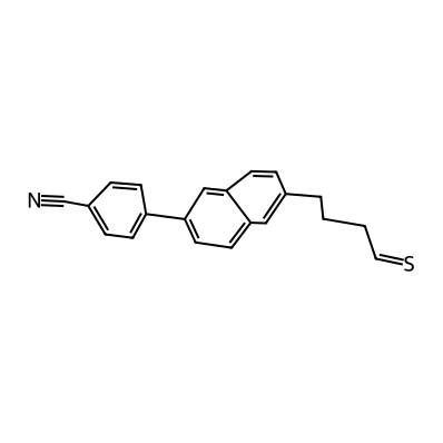 N#Cc1ccc(-c2ccc3cc(CCCC=S)ccc3c2)cc1